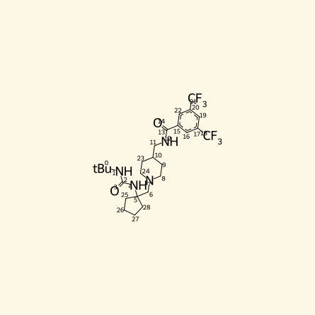 CC(C)(C)NC(=O)NC1(CN2CCC(CNC(=O)c3cc(C(F)(F)F)cc(C(F)(F)F)c3)CC2)CCCC1